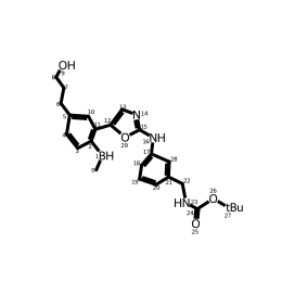 CBc1ccc(CCCO)cc1-c1cnc(Nc2cccc(CNC(=O)OC(C)(C)C)c2)o1